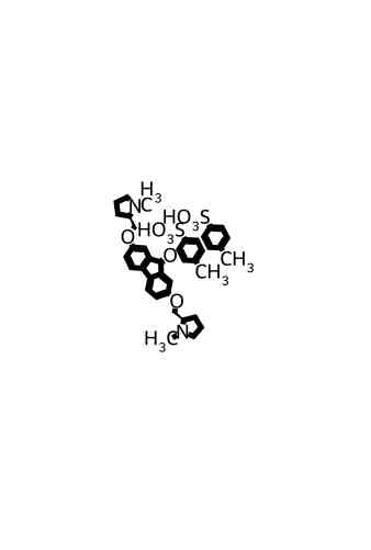 CN1CCC[C@@H]1COc1ccc2c(c1)C(=O)c1cc(OC[C@H]3CCCN3C)ccc1-2.Cc1ccc(S(=O)(=O)O)cc1.Cc1ccc(S(=O)(=O)O)cc1